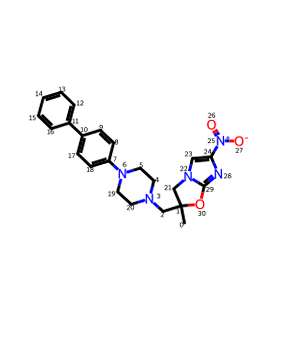 CC1(CN2CCN(c3ccc(-c4ccccc4)cc3)CC2)Cn2cc([N+](=O)[O-])nc2O1